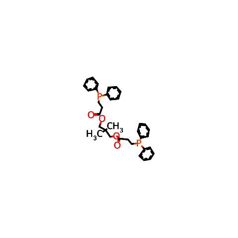 CC(C)(COC(=O)CCP(c1ccccc1)c1ccccc1)COC(=O)CCP(c1ccccc1)c1ccccc1